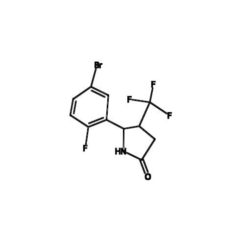 O=C1CC(C(F)(F)F)C(c2cc(Br)ccc2F)N1